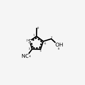 Cc1sc(C#N)cc1CO